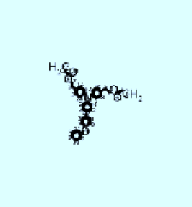 C=CC(=O)OCCc1ccc(N(c2ccc(CCOC(=O)C=C)cc2)c2ccc(-c3ccc(Oc4ccccc4)cc3)cc2)cc1